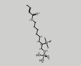 CC=CC(=O)OCCCCCCC(COP(=O)(O)O)[N+](C)(C)C